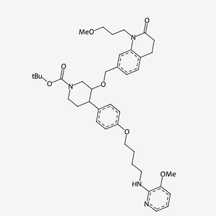 COCCCN1C(=O)CCc2ccc(COC3CN(C(=O)OC(C)(C)C)CCC3c3ccc(OCCCCNc4ncccc4OC)cc3)cc21